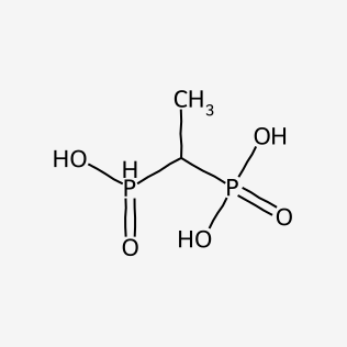 CC([PH](=O)O)P(=O)(O)O